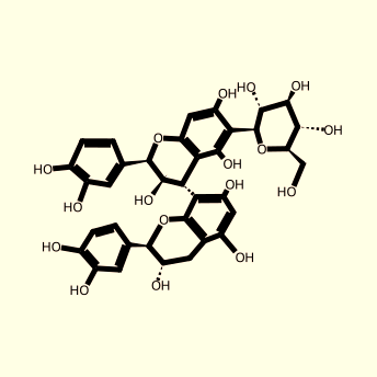 OC[C@H]1O[C@@H](c2c(O)cc3c(c2O)[C@H](c2c(O)cc(O)c4c2O[C@H](c2ccc(O)c(O)c2)[C@@H](O)C4)[C@@H](O)[C@@H](c2ccc(O)c(O)c2)O3)[C@H](O)[C@@H](O)[C@@H]1O